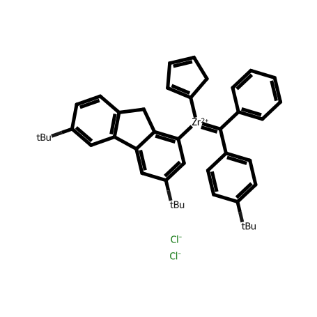 CC(C)(C)c1ccc(/[C](c2ccccc2)=[Zr+2](/[C]2=CC=CC2)[c]2cc(C(C)(C)C)cc3c2Cc2ccc(C(C)(C)C)cc2-3)cc1.[Cl-].[Cl-]